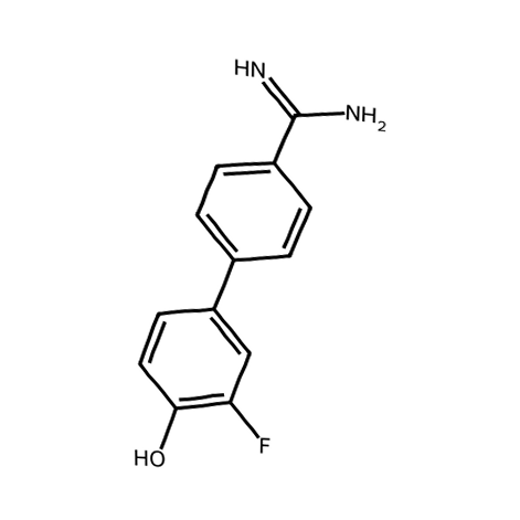 N=C(N)c1ccc(-c2ccc(O)c(F)c2)cc1